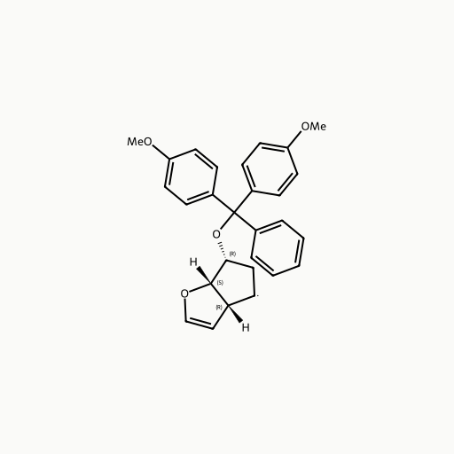 COc1ccc(C(O[C@@H]2C[CH][C@@H]3C=CO[C@@H]32)(c2ccccc2)c2ccc(OC)cc2)cc1